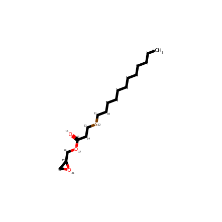 CCCCCCCCCCCCSCCC(=O)OCC1CO1